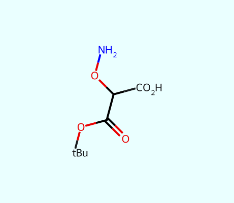 CC(C)(C)OC(=O)C(ON)C(=O)O